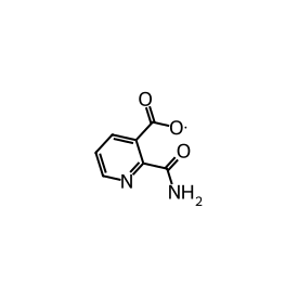 NC(=O)c1ncccc1C([O])=O